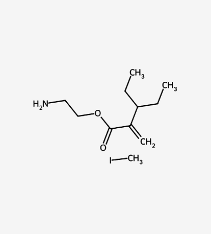 C=C(C(=O)OCCN)C(CC)CC.CI